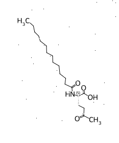 CCCCCCCCCCCCCC(=O)N[C@@H](CCC(C)=O)C(=O)O